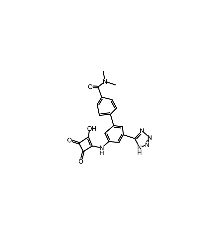 CN(C)C(=O)c1ccc(-c2cc(Nc3c(O)c(=O)c3=O)cc(-c3nnn[nH]3)c2)cc1